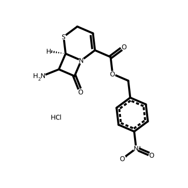 Cl.NC1C(=O)N2C(C(=O)OCc3ccc([N+](=O)[O-])cc3)=CCS[C@H]12